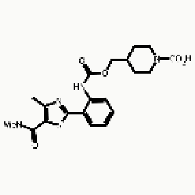 CNC(=O)c1sc(-c2ccccc2NC(=O)OCC2CCN(C(=O)O)CC2)nc1C